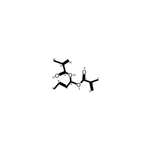 C=C(C)C(=O)OC(/C=C/C)OC(=O)C(=C)C